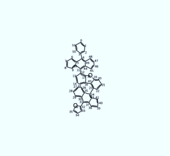 c1ccc(-c2c3ccccc3c(-c3cccc4c3oc3cccc(-c5c6ccccc6c(-c6ccco6)c6ccccc56)c34)c3ccccc23)cc1